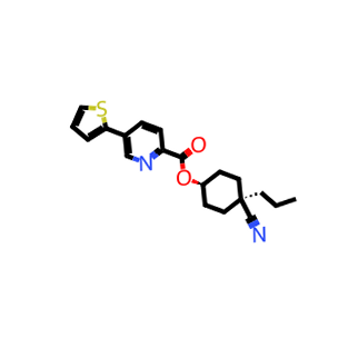 CCC[C@]1(C#N)CC[C@@H](OC(=O)c2ccc(-c3cccs3)cn2)CC1